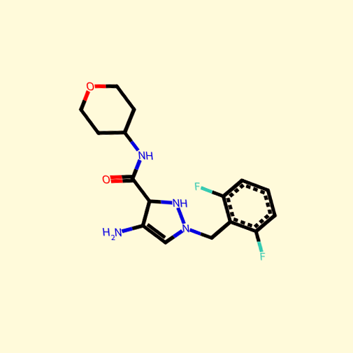 NC1=CN(Cc2c(F)cccc2F)NC1C(=O)NC1CCOCC1